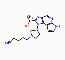 CC(O)c1nc2cnc3[nH]ccc3c2n1[C@H]1CCN(CCCCC#N)C1